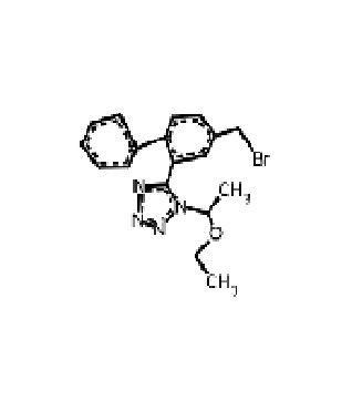 CCOC(C)n1nnnc1-c1cc(CBr)ccc1-c1ccccc1